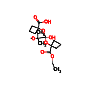 CCOC(=O)C1(OC(O)(OC2(C(=O)O)CCC2)C(C)(C)[O])CCC1